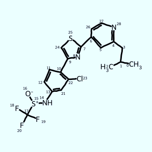 CC(C)Cc1cc(-c2nc(-c3ccc(N[S+]([O-])C(F)(F)F)cc3Cl)cs2)ccn1